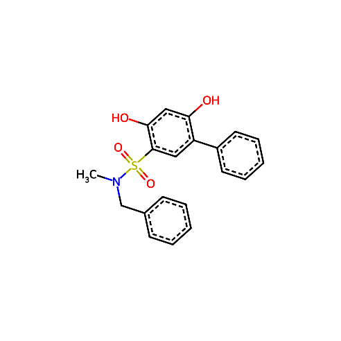 CN(Cc1ccccc1)S(=O)(=O)c1cc(-c2ccccc2)c(O)cc1O